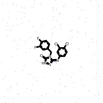 O=c1[nH]s/c(=N/c2ccc(Cl)c(Cl)c2)n1Cc1ccc(F)c(F)c1